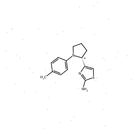 Cc1ccc(N2CCC[C@@H]2c2csc(N)n2)cc1